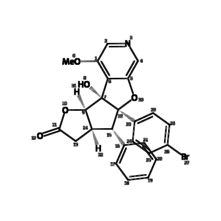 COc1cncc2c1[C@]1(O)[C@@H]3OC(=O)C[C@@H]3[C@@H](c3ccccc3)[C@]1(c1ccc(Br)cc1)O2